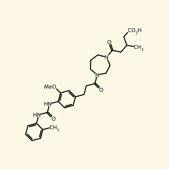 COc1cc(CCC(=O)N2CCCN(C(=O)CC(C)CC(=O)O)CC2)ccc1NC(=O)Nc1ccccc1C